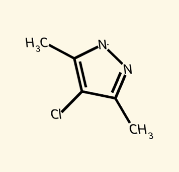 CC1=N[N]C(C)=C1Cl